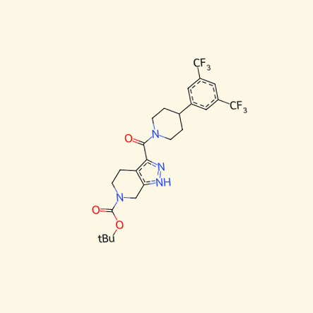 CC(C)(C)OC(=O)N1CCc2c(C(=O)N3CCC(c4cc(C(F)(F)F)cc(C(F)(F)F)c4)CC3)n[nH]c2C1